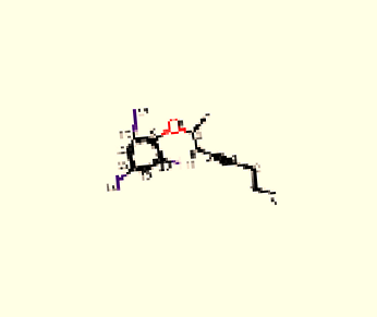 CCCC#CCC(C)Oc1c(I)cc(I)cc1I